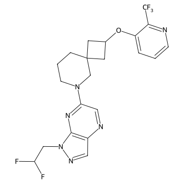 FC(F)Cn1ncc2ncc(N3CCCC4(CC(Oc5cccnc5C(F)(F)F)C4)C3)nc21